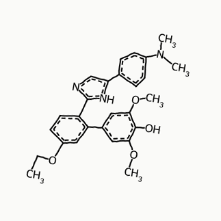 CCOc1ccc(-c2ncc(-c3ccc(N(C)C)cc3)[nH]2)c(-c2cc(OC)c(O)c(OC)c2)c1